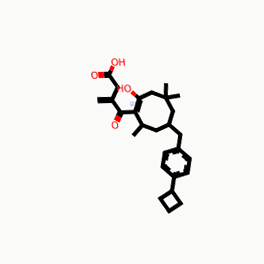 C=C(CC(=O)O)C(=O)/C1=C(\O)CC(C)(C)CC(Cc2ccc(C3CCC3)cc2)CC1C